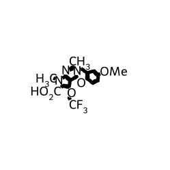 COc1cccc(Cn2c(C)nc3c(c(OCC(F)(F)F)c(C(=O)O)n3C)c2=O)c1